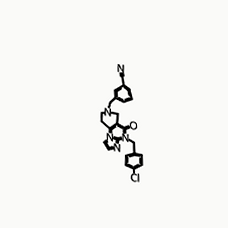 N#Cc1cccc(CN2CCc3c(c(=O)n(Cc4ccc(Cl)cc4)c4nccn34)C2)c1